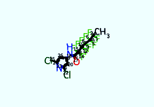 CC(F)(F)C(F)(F)C(F)(F)C(F)(F)C(F)(F)C(=O)Nc1cc(Cl)nc(Cl)c1